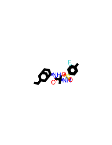 CCC1CC2CCC(NC(=O)C(C)(C)NS(=O)(=O)c3ccc(C)c(F)c3)C(C1)C2